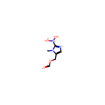 Cn1c(COC=O)cnc1N(O)O